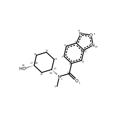 CN(C(=O)c1ccc2nonc2c1)[C@H]1CCC[C@@H](O)C1